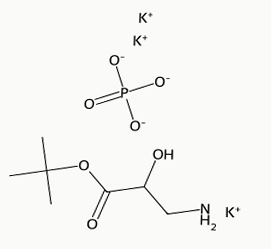 CC(C)(C)OC(=O)C(O)CN.O=P([O-])([O-])[O-].[K+].[K+].[K+]